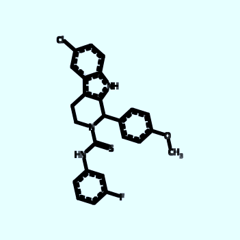 COc1ccc(C2c3[nH]c4ccc(Cl)cc4c3CCN2C(=S)Nc2cccc(F)c2)cc1